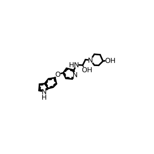 OC1CCN(C[C@@H](O)Nc2cc(Oc3ccc4[nH]ccc4c3)ccn2)CC1